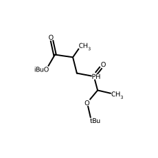 CC(C)COC(=O)C(C)C[PH](=O)C(C)OC(C)(C)C